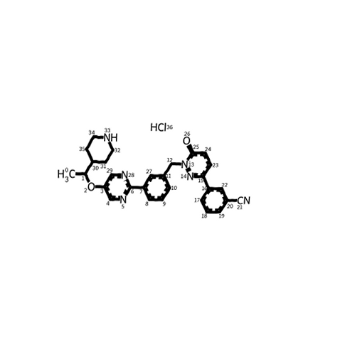 CC(Oc1cnc(-c2cccc(Cn3nc(-c4cccc(C#N)c4)ccc3=O)c2)nc1)C1CCNCC1.Cl